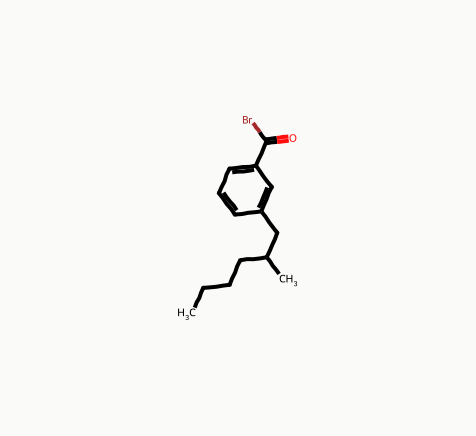 CCCCC(C)Cc1cccc(C(=O)Br)c1